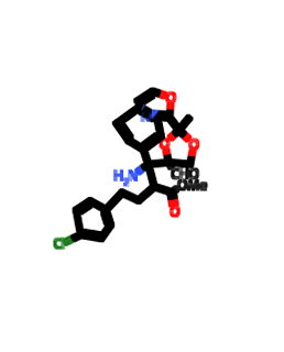 COC(=O)C(CCc1ccc(Cl)cc1)C(N)(c1ccccc1)C1(C=O)COC(C)(c2ncco2)O1